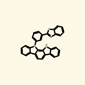 c1cc(-c2nc3ccccc3o2)cc(-n2c3ccccc3c3ccc4c5ccccc5[nH]c4c32)c1